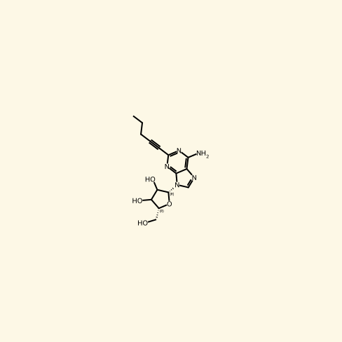 CCCC#Cc1nc(N)c2ncn([C@@H]3O[C@H](CO)C(O)C3O)c2n1